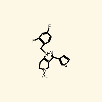 CC(=O)N1CCc2c(c(-c3ccsc3)nn2Cc2ccc(F)cc2F)C1